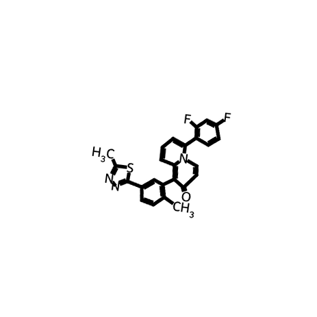 Cc1nnc(-c2ccc(C)c(-c3c(=O)ccn4c(-c5ccc(F)cc5F)cccc34)c2)s1